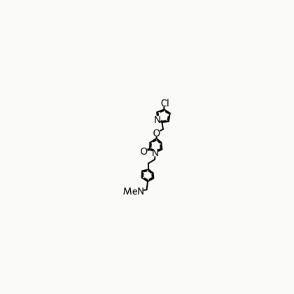 CNCc1ccc(CCn2ccc(OCc3ccc(Cl)cn3)cc2=O)cc1